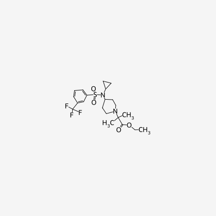 CCOC(=O)C(C)(C)N1CCC(N(C2CC2)S(=O)(=O)c2cccc(C(F)(F)F)c2)CC1